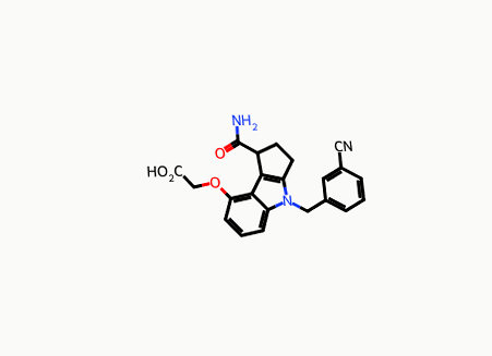 N#Cc1cccc(Cn2c3c(c4c(OCC(=O)O)cccc42)C(C(N)=O)CC3)c1